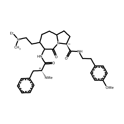 CCN(C)CCC1CCC2CC[C@@H](C(=O)NCCc3ccc(OC)cc3)N2C(=O)C1NC(=O)[C@@H](Cc1ccccc1)NC